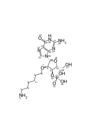 NCCCCCCO[C@@H]1[C@H](OP(=O)(O)O)[C@@H](CO)O[C@H]1n1cnc2c(=O)[nH]c(N)nc21